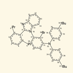 CC(C)c1cccc(C(C)C)c1-c1nc2ccccc2n1-c1cccc(N(c2ccc(C(C)(C)C)cc2)c2ccc(C(C)(C)C)cc2)c1Br